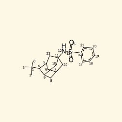 CC(C)(C)C1C2CC3CC1CC(NS(=O)(=O)c1ccccc1)(C3)C2